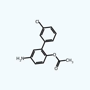 CC(=O)Oc1ccc(N)cc1-c1cccc(Cl)c1